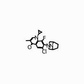 Cc1cn(C2CC2)c2c(F)c(N3CC4CCC(C3)N4C)c(Cl)cc2c1=O